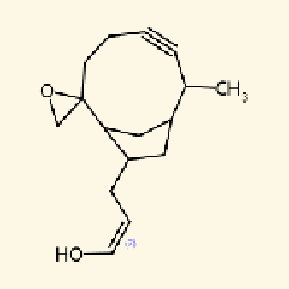 CC1C#CCCC2(CO2)C2CC1CC2C/C=C\O